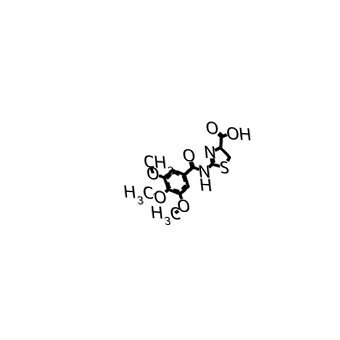 COc1cc(C(=O)NC2=NC(C(=O)O)CS2)cc(OC)c1OC